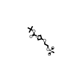 CC(C)(C)OC(=O)N1CC(OCCOS(C)(=O)=O)C1